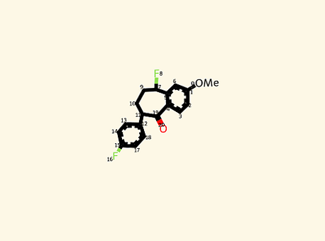 COc1ccc2c(c1)C(F)CCC(c1ccc(F)cc1)C2=O